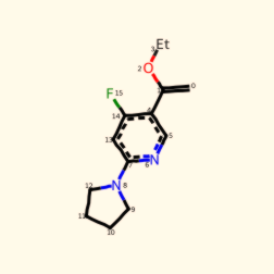 C=C(OCC)c1cnc(N2CCCC2)cc1F